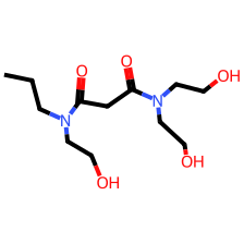 CCCN(CCO)C(=O)CC(=O)N(CCO)CCO